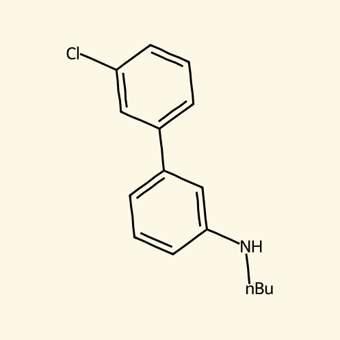 CCCCNc1cccc(-c2cccc(Cl)c2)c1